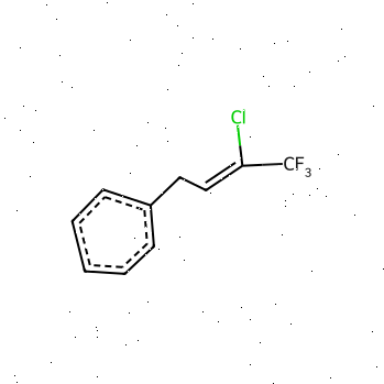 FC(F)(F)C(Cl)=CCc1ccccc1